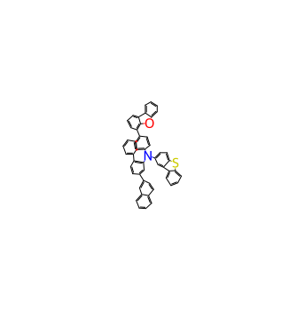 c1ccc(-c2ccc(-c3ccc4ccccc4c3)cc2N(c2ccc(-c3cccc4c3oc3ccccc34)cc2)c2ccc3sc4ccccc4c3c2)cc1